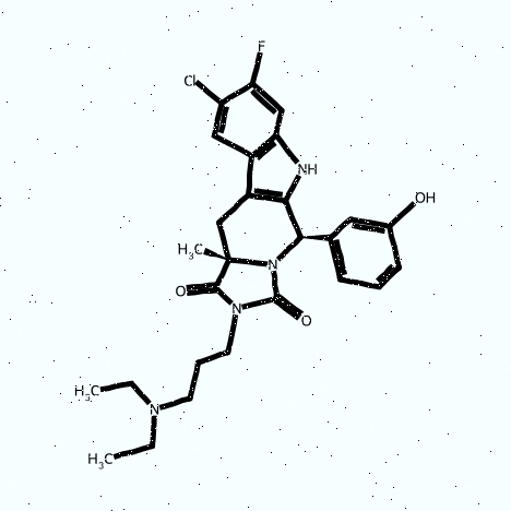 CCN(CC)CCCN1C(=O)N2[C@H](c3cccc(O)c3)c3[nH]c4cc(F)c(Cl)cc4c3C[C@@]2(C)C1=O